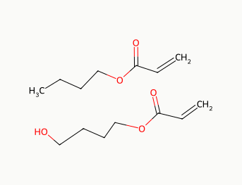 C=CC(=O)OCCCC.C=CC(=O)OCCCCO